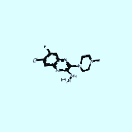 CN1CCN(c2nc3cc(F)c(Cl)cc3nc2NN)CC1